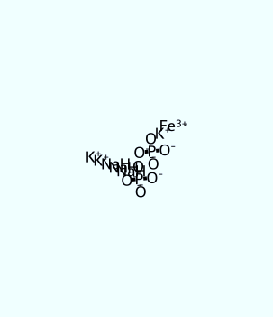 O=P([O-])([O-])[O-].O=P([O-])([O-])[O-].[Fe+3].[K+].[K+].[K+].[NaH].[NaH].[NaH]